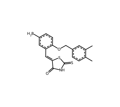 Bc1ccc(OCc2ccc(C)c(C)c2)c(/C=C2\SC(=S)NC2=O)c1